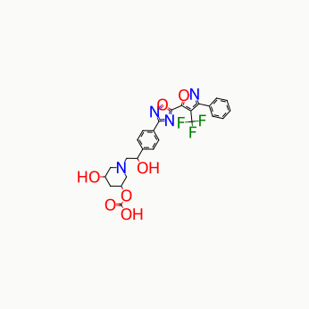 O=C(O)OC1CC(O)CN(CC(O)c2ccc(-c3noc(-c4onc(-c5ccccc5)c4C(F)(F)F)n3)cc2)C1